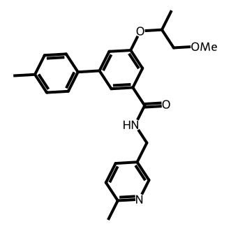 COCC(C)Oc1cc(C(=O)NCc2ccc(C)nc2)cc(-c2ccc(C)cc2)c1